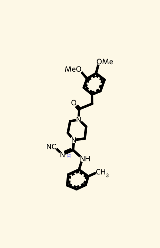 COc1ccc(CC(=O)N2CCN(/C(=N\C#N)Nc3ccccc3C)CC2)cc1OC